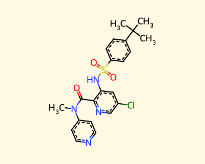 CN(C(=O)c1ncc(Cl)cc1NS(=O)(=O)c1ccc(C(C)(C)C)cc1)c1ccncc1